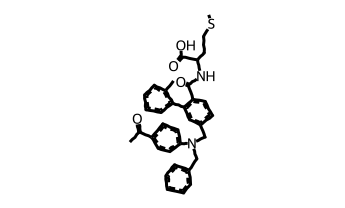 CSCCC(NC(=O)c1ccc(CN(Cc2ccccc2)c2ccc(C(C)=O)cc2)cc1-c1ccccc1C)C(=O)O